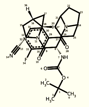 CC(C)(C)OC(=O)N[C@H](C(=O)N1[C@H](C#N)C[C@@H]2C[C@@H]21)C1CC2CCC(C1)N2C(=O)c1ccnc(F)c1